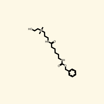 C[N+](C)(CCO)CCCNC(=O)CCCCCNC(=O)OCc1ccccc1